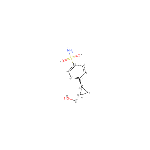 NS(=O)(=O)c1ccc([C@H]2C[C@@H]2CO)cc1